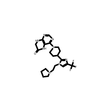 O=C1CNc2ncnc(N3CCC(c4nc(C(F)(F)F)cn4CCN4CCCC4)CC3)c2N1